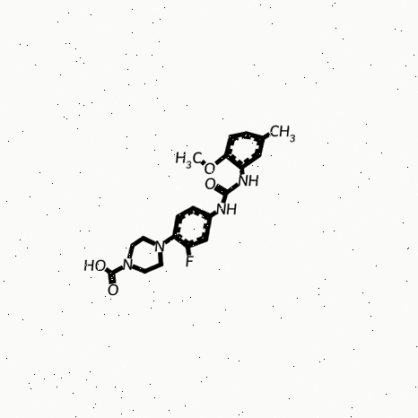 COc1ccc(C)cc1NC(=O)Nc1ccc(N2CCN(C(=O)O)CC2)c(F)c1